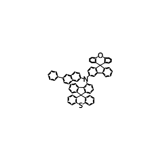 c1ccc(-c2ccc3cc(N(c4ccc5c(c4)-c4ccccc4C54c5ccccc5Oc5ccccc54)c4cccc5c4-c4ccccc4C54c5ccccc5Sc5ccccc54)ccc3c2)cc1